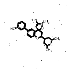 CC1CC(C2CC3(N=C(N)N(C)O3)c3cc(-c4cccc(C#N)c4)ccc3O2)CC(C)O1